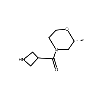 C[C@@H]1CN(C(=O)C2CNC2)CCO1